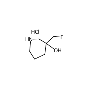 Cl.OC1(CF)CCCNC1